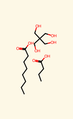 CCCC(=O)O.CCCCCCCC(=O)O.OCC(CO)(CO)CO